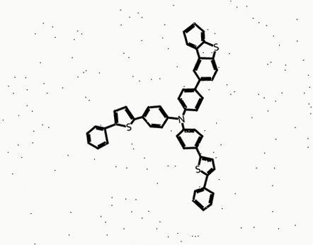 c1ccc(-c2ccc(-c3ccc(N(c4ccc(-c5ccc6sc7ccccc7c6c5)cc4)c4ccc(-c5ccc(-c6ccccc6)s5)cc4)cc3)s2)cc1